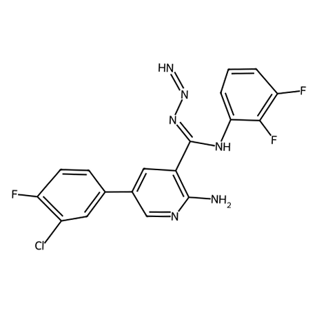 N=N/N=C(\Nc1cccc(F)c1F)c1cc(-c2ccc(F)c(Cl)c2)cnc1N